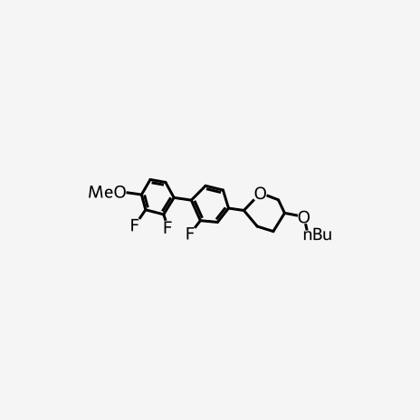 CCCCOC1CCC(c2ccc(-c3ccc(OC)c(F)c3F)c(F)c2)OC1